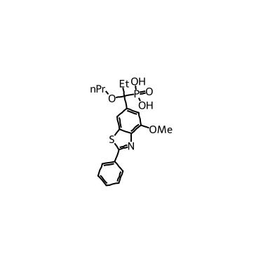 CCCOC(CC)(c1cc(OC)c2nc(-c3ccccc3)sc2c1)P(=O)(O)O